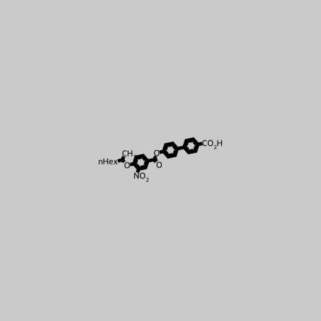 CCCCCCC(C)Oc1ccc(C(=O)Oc2ccc(-c3ccc(C(=O)O)cc3)cc2)cc1[N+](=O)[O-]